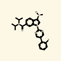 CC(C)N(C(=O)c1ccc2c([S+](C)[O-])cn(-c3ncc(-c4ccccc4F)cn3)c2c1)C(C)C